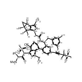 CN[C@H](C(=O)N(c1nn(CC(F)(F)F)c2c(-c3ccc(C#CC(C)(C)S(C)(=O)=O)nc3[C@H](Cc3cc(F)cc(F)c3)NC(=O)Cn3nc(C(F)(F)F)c4c3C(F)(F)[C@@H]3C[C@H]43)ccc(Cl)c12)S(C)(=O)=O)C(C)C